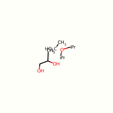 CC(=O)O.CC(C)OC(C)C.CC(O)CO